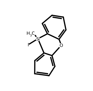 C[Si]1(I)c2ccccc2Oc2ccccc21